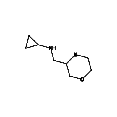 C1COCC(CNC2CC2)[N]1